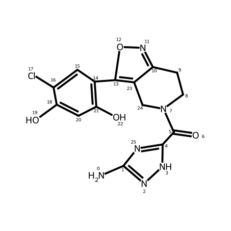 Nc1n[nH]c(C(=O)N2CCc3noc(-c4cc(Cl)c(O)cc4O)c3C2)n1